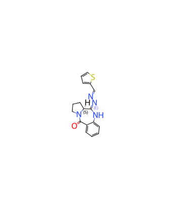 O=C1c2ccccc2N/C(=N/N=Cc2cccs2)[C@@H]2CCCN12